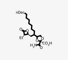 CCCCCCCCCCCCCCCCCC(C[C@@H]1OC(=O)[C@H]1CC)C1CO[C@](C(N)=O)(C(=O)O)O1